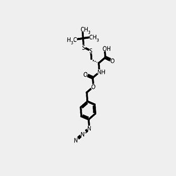 CC(C)(C)SSC[C@@H](NC(=O)OCc1ccc(N=[N+]=[N-])cc1)C(=O)O